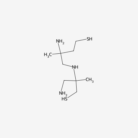 CC(N)(CCS)CNC(C)(CN)CS